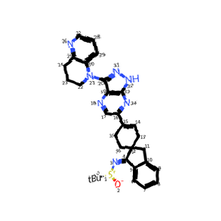 CC(C)(C)[S@@+]([O-])/N=C1\c2ccccc2CC12CC=C(c1cnc3c(N4CCCc5ncccc54)n[nH]c3n1)CC2